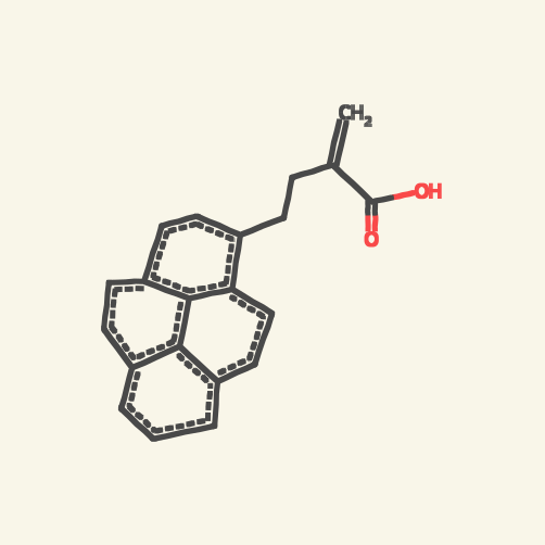 C=C(CCc1ccc2ccc3cccc4ccc1c2c34)C(=O)O